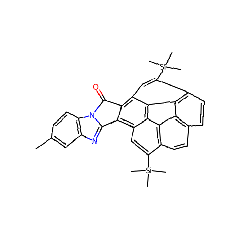 Cc1ccc2c(c1)nc1c3c4cc([Si](C)(C)C)c5ccc6ccc7c([Si](C)(C)C)cc(c3c(=O)n21)c1c7c6c5c41